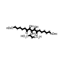 CCCCCCCCCCCCCCCC(=O)C(O)C(O)C(O)C(=O)CCCCCCCCCCCCCCC.O=C(O)CCC(=O)O